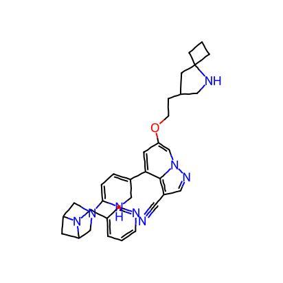 N#Cc1cnn2cc(OCCC3CNC4(CCC4)C3)cc(C3=CC=C(N4CC5CC(C4)N5Cc4cccnc4)NC3)c12